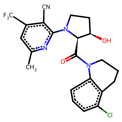 Cc1cc(C(F)(F)F)c(C#N)c(N2CC[C@@H](O)[C@H]2C(=O)N2CCCc3c(Cl)cccc32)n1